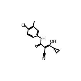 Cc1cc(NC(=S)C(C#N)=C(O)C2CC2)ccc1Cl